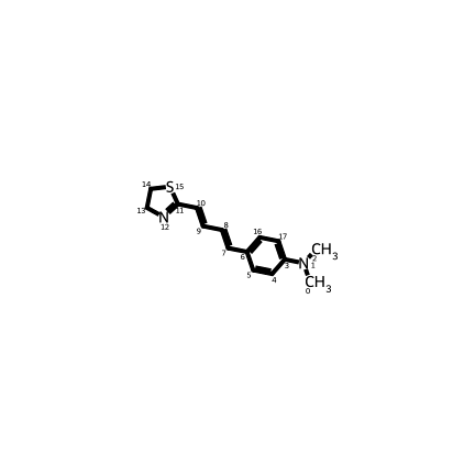 CN(C)c1ccc(/C=C/C=C/C2=NCCS2)cc1